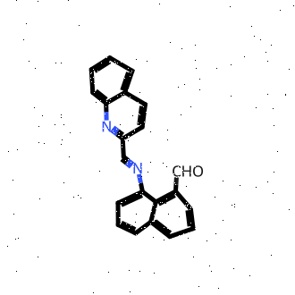 O=Cc1cccc2cccc(N=Cc3ccc4ccccc4n3)c12